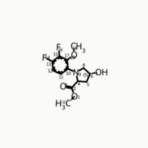 COC(=O)C1C[C@H](O)CN1c1ccc(F)c(F)c1OC